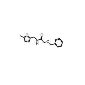 Cc1ccc(CNC(=O)COCc2ccccc2)o1